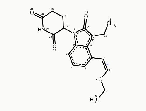 CCO/C=C\c1cccc2c1n(CC)c(=O)n2C1CCC(=O)NC1=O